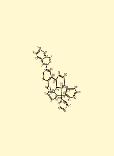 Clc1ccc(-c2ccc3ccccc3c2)cc1-c1cccc2c1-c1ccccc1C2(c1ccccc1)c1ccccc1